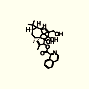 CC1=C[C@]23C(=O)[C@@H](C=C(CO)[C@@H](O)[C@]2(O)[C@H]1OC(=O)c1nccc2ccccc12)[C@H]1[C@@H](C[C@H]3C)C1(C)C